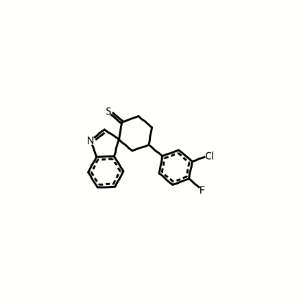 Fc1ccc(C2CCC(=S)C3(C=Nc4ccccc43)C2)cc1Cl